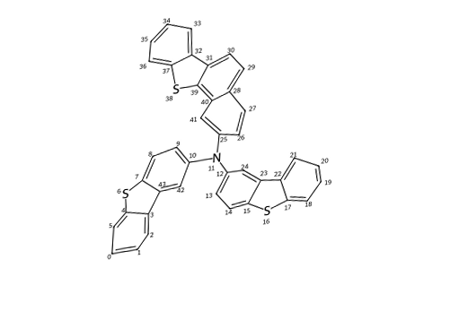 c1ccc2c(c1)sc1ccc(N(c3ccc4sc5ccccc5c4c3)c3ccc4ccc5c6ccccc6sc5c4c3)cc12